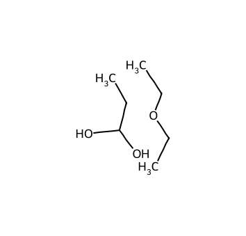 CCC(O)O.CCOCC